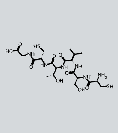 CC(C)[C@H](NC(=O)[C@H](CO)NC(=O)[C@@H](N)CS)C(=O)N[C@H](C(=O)N[C@@H](CS)C(=O)NCC(=O)O)[C@@H](C)O